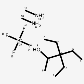 CCC(CC)(CC)C(C)O.CN.C[NH3+].F[B-](F)(F)F